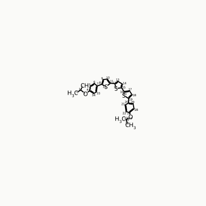 CC(C)Oc1ccc(-c2ccc(-c3ccc(-c4ccc(-c5ccc(OC(C)C)cc5)s4)s3)s2)cc1